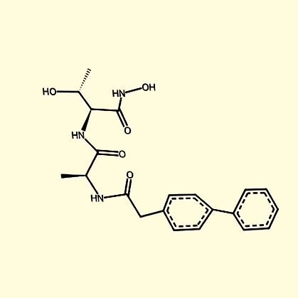 C[C@H](NC(=O)Cc1ccc(-c2ccccc2)cc1)C(=O)N[C@H](C(=O)NO)[C@@H](C)O